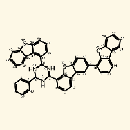 c1ccc(C2NC(c3cccc4c3sc3ccc(-c5cccc6c5oc5ccccc56)cc34)NC(c3cccc4sc5ccccc5c34)N2)cc1